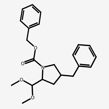 COC(OC)C1CC(Cc2ccccc2)CN1C(=O)OCc1ccccc1